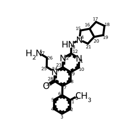 Cc1ccccc1-c1cc2cnc(NN3CC4CCCC4C3)nc2n(CCN)c1=O